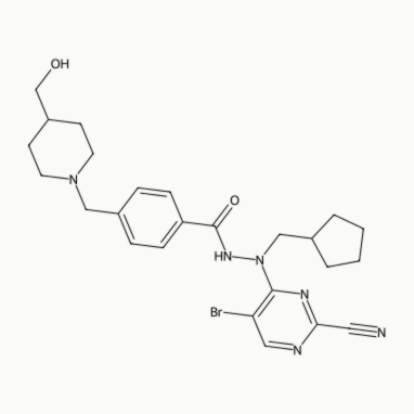 N#Cc1ncc(Br)c(N(CC2CCCC2)NC(=O)c2ccc(CN3CCC(CO)CC3)cc2)n1